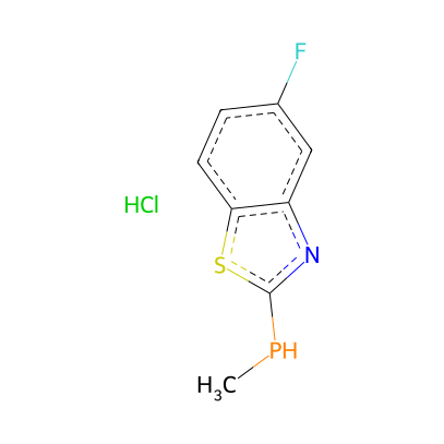 CPc1nc2cc(F)ccc2s1.Cl